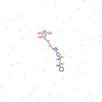 O=C(CCNC(=O)c1ccc(-c2cn(CCOCCOCCOC3O[C@H](CO)[C@@H](O)[C@H](O)[C@@H]3O)nn2)cc1)NC1=C/C=C\C=C/C=C\1